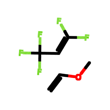 C=COC.FC(F)=CC(F)(F)F